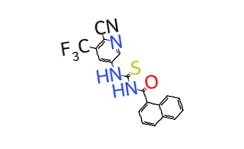 N#Cc1ncc(NC(=S)NC(=O)c2cccc3ccccc23)cc1C(F)(F)F